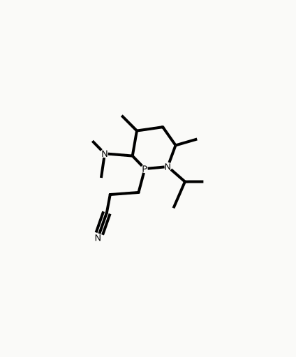 CC1CC(C)N(C(C)C)P(CCC#N)C1N(C)C